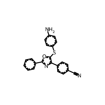 N#Cc1ccc(-c2nc(-c3ccccc3)oc2Sc2ccc(N)cc2)cc1